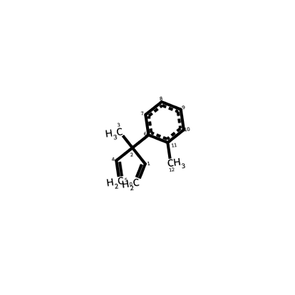 C=CC(C)(C=C)c1ccccc1C